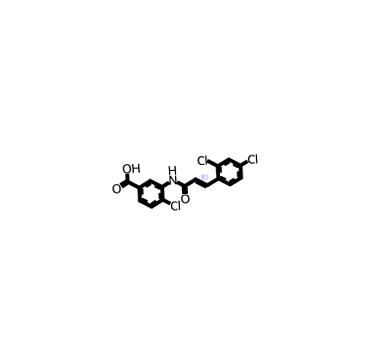 O=C(/C=C/c1ccc(Cl)cc1Cl)Nc1cc(C(=O)O)ccc1Cl